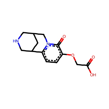 O=C(O)COc1ccc2n(c1=O)CC1CNCC2C1